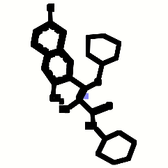 Cc1cc2ccc(Cl)cc2cc1/C(OC1CCCCC1)=C(\S)C(=O)NC1CCCCC1